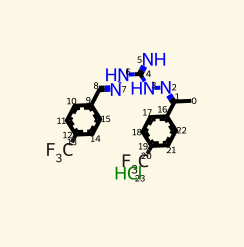 CC(=NNC(=N)NN=Cc1ccc(C(F)(F)F)cc1)c1ccc(C(F)(F)F)cc1.Cl